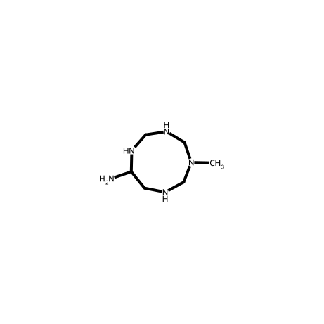 CN1CNCNC(N)CNC1